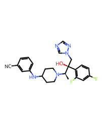 C[C@@H](N1CCC(Nc2cccc(C#N)c2)CC1)[C@](O)(Cn1cncn1)c1ccc(F)cc1F